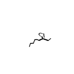 CC=C(Cl)CCCCC